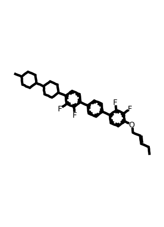 CC/C=C/COc1ccc(-c2ccc(-c3ccc(C4CCC(C5CCC(C)CC5)CC4)c(F)c3F)cc2)c(F)c1F